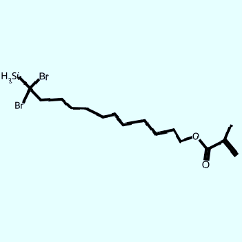 C=C(C)C(=O)OCCCCCCCCCCCC([SiH3])(Br)Br